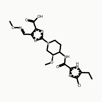 CCc1[nH]c(C(=O)NC2CCN(c3nc(/C=N/OC)c(C(=O)O)s3)C[C@@H]2OC)nc1Cl